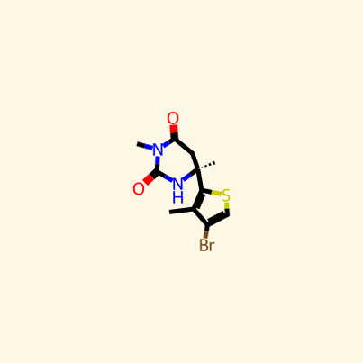 Cc1c(Br)csc1[C@]1(C)CC(=O)N(C)C(=O)N1